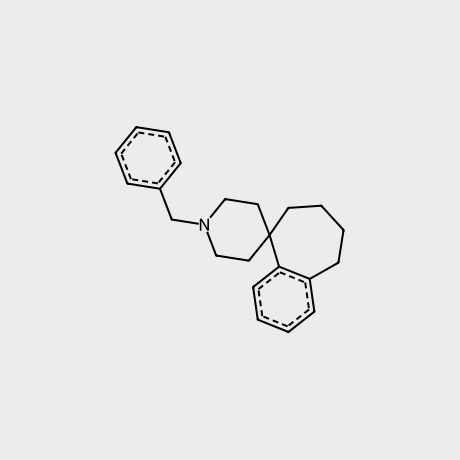 c1ccc(CN2CCC3(CCCCc4ccccc43)CC2)cc1